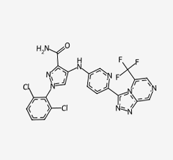 NC(=O)c1nn(-c2c(Cl)cccc2Cl)cc1Nc1ccc(-c2nnc3cncc(C(F)(F)F)n23)nc1